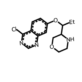 CCC(Oc1ccc2c(Cl)ncnc2c1)C1COCCN1